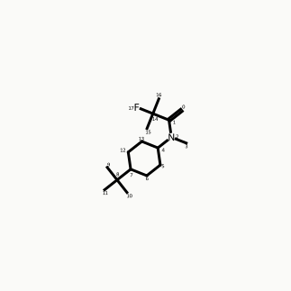 C=C(N(C)C1CCC(C(C)(C)C)CC1)C(C)(C)F